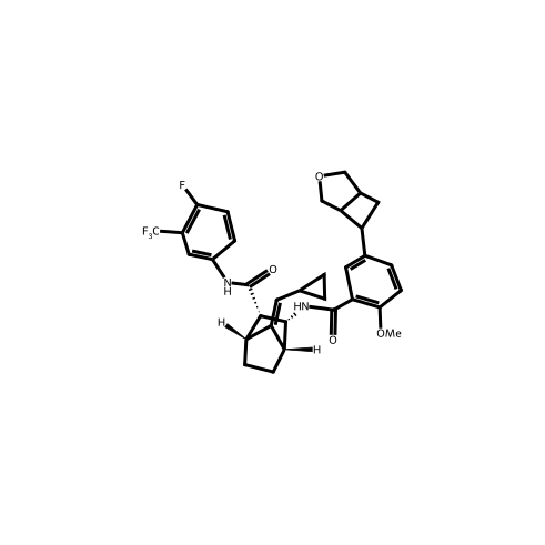 COc1ccc(C2CC3COCC32)cc1C(=O)N[C@H]1[C@@H](C(=O)Nc2ccc(F)c(C(F)(F)F)c2)[C@H]2CC[C@@H]1/C2=C\C1CC1